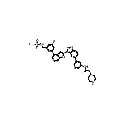 CS(=O)(=O)NCc1cc(F)cc(-c2cncc3[nH]c(-c4n[nH]c5ccc(-c6cncc(NC(=O)CC7CCNCC7)c6)cc45)cc23)c1